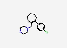 Clc1ccc(C2=C(CN3CC[N]CC3)CCCCC2)cc1